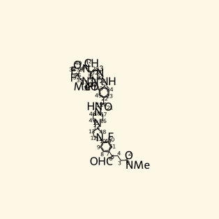 CNC(=O)CCC(C=O)c1ccc(N2CCC(N3CCN(NC(=O)c4ccc(Nc5ncc6c(n5)N(C(C)C)CC(F)(F)C(=O)N6C)c(OC)c4)CC3)C2)c(F)c1